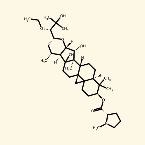 CCO[C@@H]([C@H]1C[C@@H](C)[C@H]2[C@H](O1)[C@H](O)[C@@]1(C)[C@@H]3CC[C@H]4C(C)(C)[C@@H](OC(=O)[C@@H]5CCCN5C)CCC45C[C@@]35CC[C@]21C)C(C)(C)O